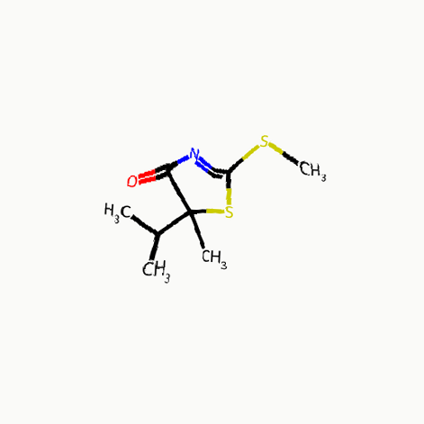 CSC1=NC(=O)C(C)(C(C)C)S1